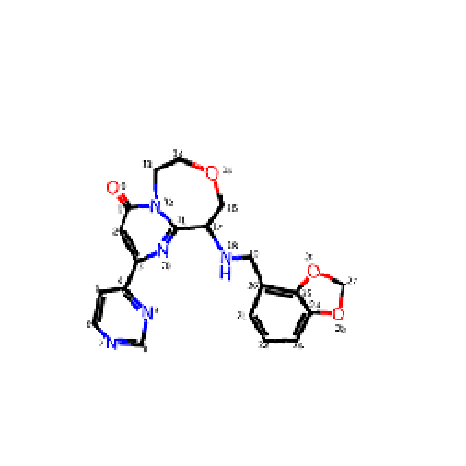 O=c1cc(-c2ccncn2)nc2n1CCOCC2NCc1cccc2c1OCO2